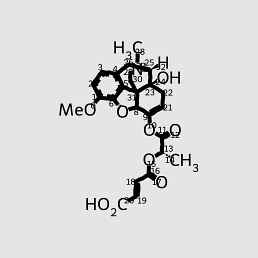 COc1ccc2c3c1OC1C(OC(=O)[C@H](C)OC(=O)/C=C/C(=O)O)=CC[C@@]4(O)[C@@H](C2)N(C)CCC314